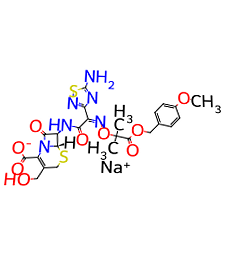 COc1ccc(COC(=O)C(C)(C)O/N=C(\C(=O)N[C@@H]2C(=O)N3C(C(=O)[O-])=C(CO)CS[C@@H]23)c2nsc(N)n2)cc1.[Na+]